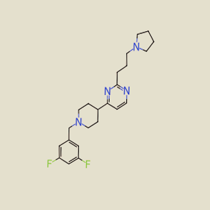 Fc1cc(F)cc(CN2CCC(c3ccnc(CCCN4CCCC4)n3)CC2)c1